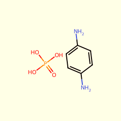 Nc1ccc(N)cc1.O=P(O)(O)O